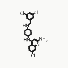 Nc1cc(NC2CCC(NCc3cc(Cl)cc(Cl)c3)CC2)c2ccc(Cl)cc2n1